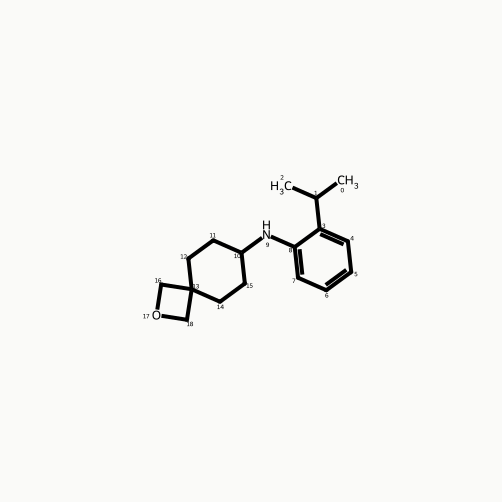 CC(C)c1ccccc1NC1CCC2(CC1)COC2